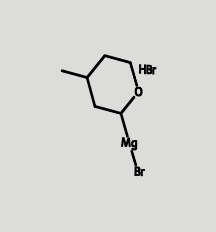 Br.CC1CCO[CH]([Mg][Br])C1